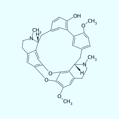 COc1ccc2cc1-c1cc(ccc1O)C[C@@H]1c3cc4c(cc3CCN1C)Oc1c(OC)cc3c(c1O4)[C@H](C2)N(C)CC3